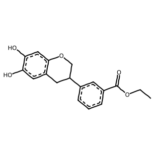 CCOC(=O)c1cccc(C2COc3cc(O)c(O)cc3C2)c1